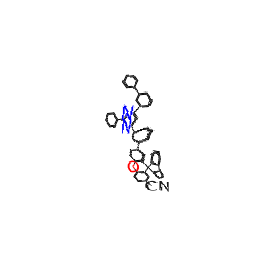 N#Cc1ccc2c(c1)C1(c3cc(-c4cccc(-c5cc(-c6cccc(-c7ccccc7)c6)nc(-c6ccccc6)n5)c4)ccc3O2)c2ccccc2-c2ccccc21